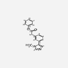 Cn1nnnc1-c1cccc(CC(=O)Oc2ccccc2)c1